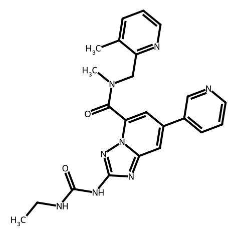 CCNC(=O)Nc1nc2cc(-c3cccnc3)cc(C(=O)N(C)Cc3ncccc3C)n2n1